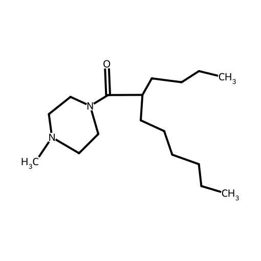 CCCCCCC(CCCC)C(=O)N1CCN(C)CC1